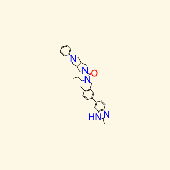 CCCN(Cc1cc(-c2ccc3nc(C)[nH]c3c2)ccc1C)C(=O)N1CC2CN(c3ccccc3)CC2C1